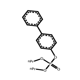 CCCOP(=O)(OCCC)Oc1ccc(-c2ccccc2)cc1